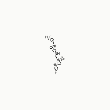 CC1CCN(CCNC(=O)c2ccc(NCC#Cc3cc4c(NC5CCNCC5)cccc4n3CC(F)(F)F)cc2)CC1